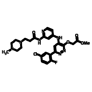 COC(=O)COc1nnc(-c2cc(Cl)ccc2F)cc1Nc1ccnc(NC(=O)CCN2CCN(C)CC2)c1